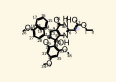 CCO/C(O)=C/c1nc2c(c(=O)[nH]1)[C@@H](c1ccccc1)[C@]1(c3ccc(OC)cc3)Oc3cc(OC)cc(OC)c3[C@]21O